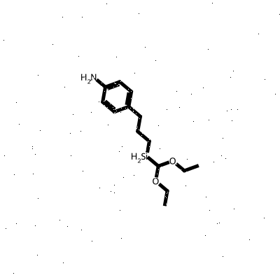 CCOC(OCC)[SiH2]CCCc1ccc(N)cc1